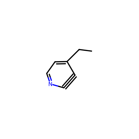 CCc1c#cncc1